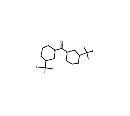 O=C(N1CCCC(C(F)(F)F)C1)N1CCCC(C(F)(F)F)C1